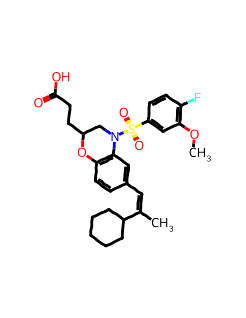 COc1cc(S(=O)(=O)N2CC(CCC(=O)O)Oc3ccc(C=C(C)C4CCCCC4)cc32)ccc1F